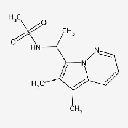 Cc1c(C)c2cccnn2c1C(C)NS(C)(=O)=O